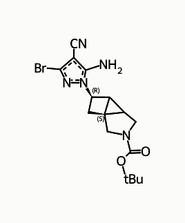 CC(C)(C)OC(=O)N1CC2C3[C@H](n4nc(Br)c(C#N)c4N)C[C@]23C1